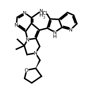 CC1(C)CN(C[C@H]2CCCO2)Cc2c(-c3[nH]c4ncccc4c3Cl)c3c(N)ncnc3n21